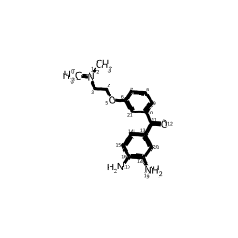 CN(C)CCOc1cccc(C(=O)c2ccc(N)c(N)c2)c1